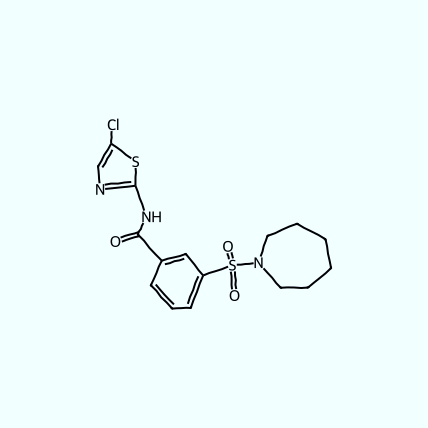 O=C(Nc1ncc(Cl)s1)c1cccc(S(=O)(=O)N2CCCCCC2)c1